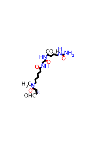 CN(CCCCCC(=O)NCC(=O)NC(CCCNC(N)=O)C(=O)O)C(=O)/C=C\C=O